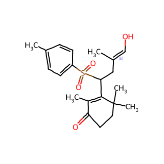 CC1=C(C(C/C(C)=C/O)S(=O)(=O)c2ccc(C)cc2)C(C)(C)CCC1=O